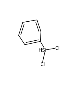 Cl[SiH](Cl)c1ccccc1